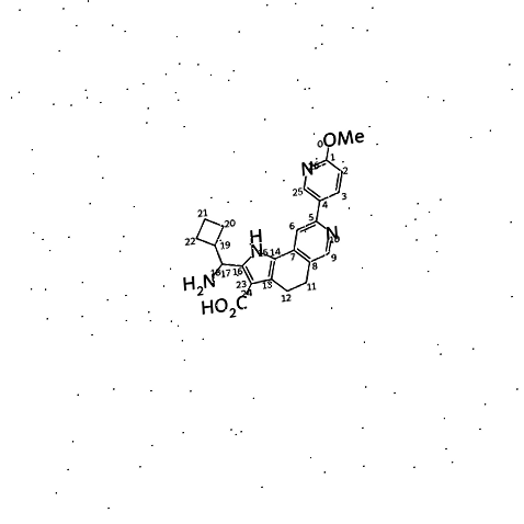 COc1ccc(-c2cc3c(cn2)CCc2c-3[nH]c(C(N)C3CCC3)c2C(=O)O)cn1